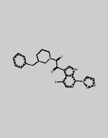 O=C(C(=O)N1CCCC(Cc2ccccc2)C1)c1c[nH]c2c(-n3ccnn3)ncc(F)c12